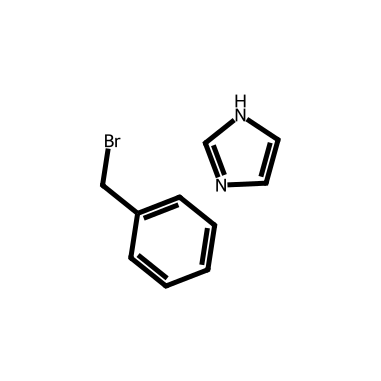 BrCc1ccccc1.c1c[nH]cn1